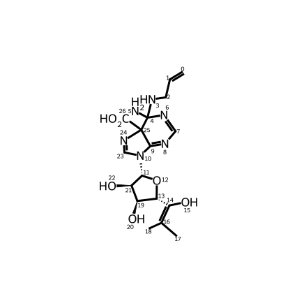 C=CCNC1(N)N=CN=C2N([C@@H]3O[C@H](C(O)=C(C)C)[C@@H](O)[C@H]3O)C=NC21C(=O)O